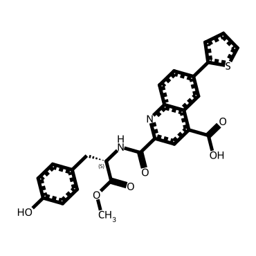 COC(=O)[C@H](Cc1ccc(O)cc1)NC(=O)c1cc(C(=O)O)c2cc(-c3cccs3)ccc2n1